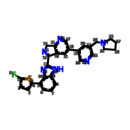 Fc1ccc(-c2cccc3[nH]c(C4=NCc5ncc(-c6cncc(CN7CCCC7)c6)cc54)nc23)s1